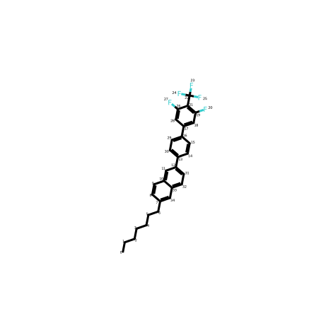 CCCCCCCc1ccc2cc(-c3ccc(-c4cc(F)c(C(F)(F)F)c(F)c4)cc3)ccc2c1